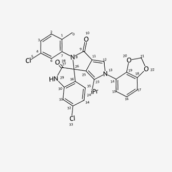 Cc1ccc(Cl)cc1N1C(=O)c2cn(-c3cccc4c3OCO4)c(C(C)C)c2C12C(=O)Nc1cc(Cl)ccc12